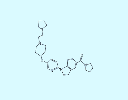 O=C(c1ccc2c(ccn2-c2ccc(OC3CCN(CCN4CCCC4)CC3)cn2)c1)N1CCCC1